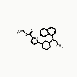 CCOC(=O)c1ccc(C2CCCC(N(CC)c3cccc4ccccc34)C2)o1